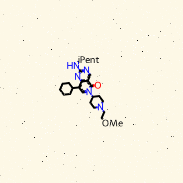 CCCC(C)Nc1ncc2c(=O)n(C3CCN(CCOC)CC3)cc(C3CCCCC3)c2n1